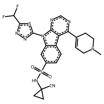 CN1CC=C(c2ncnc3c2c2ccc(S(=O)(=O)NC4(C#N)CC4)cc2n3-c2nnc(C(F)F)s2)CC1